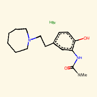 Br.CNC(=O)Nc1cc(CCN2CCCCCC2)ccc1O